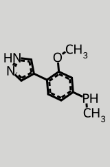 COc1cc(PC)ccc1-c1cn[nH]c1